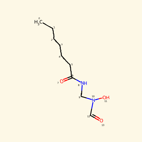 CCCCCCC(=O)NCN(O)C=O